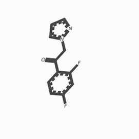 O=C(Cn1cccn1)c1ccc(F)cc1F